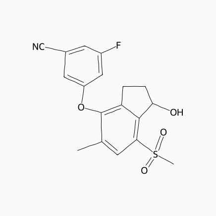 Cc1cc(S(C)(=O)=O)c2c(c1Oc1cc(F)cc(C#N)c1)CCC2O